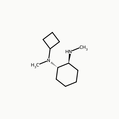 CN[C@H]1CCCC[C@@H]1N(C)C1CCC1